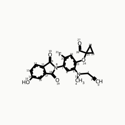 C#CCN(C)c1cc(N2C(=O)c3ccc(O)cc3C2=O)c(F)cc1OC1(C=O)CC1